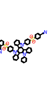 N#Cc1ccc(S(=O)(=O)c2ccc(-n3c4ccccc4c4c3c3c5ccccc5n(-c5ccccc5)c3c3c5ccccc5n(-c5ccc(S(=O)(=O)c6ccccc6C#N)cc5)c34)cc2)cc1